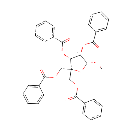 CO[C@H]1OC(COC(=O)c2ccccc2)(COC(=O)c2ccccc2)[C@@H](OC(=O)c2ccccc2)[C@H]1OC(=O)c1ccccc1